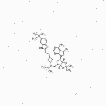 CC(C)N(C[C@H]1C[C@@H](n2cc(Br)c3c(N)ncnc32)[C@@H]2OC(C)(C)O[C@H]12)C1CC(CCc2nc3ccc(C(C)(C)C)cc3[nH]2)C1